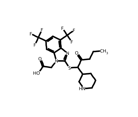 CCCC(=O)C(Sc1nc2c(C(F)(F)F)cc(C(F)(F)F)cc2n1CC(=O)O)C1CCCNC1